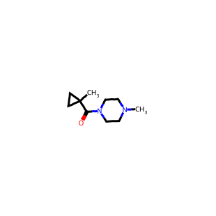 CN1CCN(C(=O)C2(C)CC2)CC1